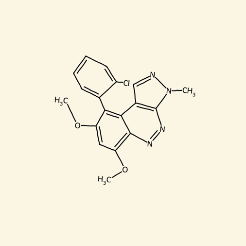 COc1cc(OC)c2nnc3c(cnn3C)c2c1-c1ccccc1Cl